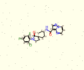 O=C(N[C@H]1CC[C@@]2(CCN(c3c(F)cc(F)cc3Cl)C2=O)CC1)c1cnn2cccnc12